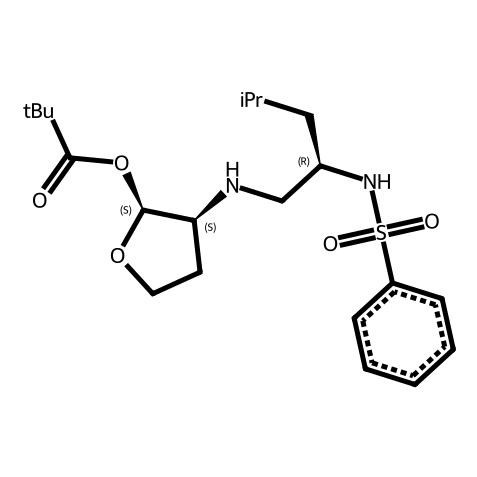 CC(C)C[C@H](CN[C@H]1CCO[C@H]1OC(=O)C(C)(C)C)NS(=O)(=O)c1ccccc1